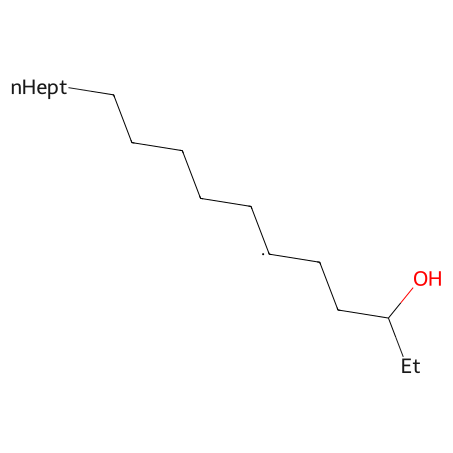 CCCCCCCCCCCC[CH]CCC(O)CC